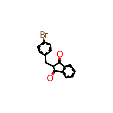 O=C1c2ccccc2C(=O)C1Cc1ccc(Br)cc1